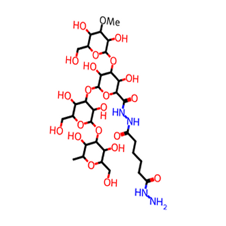 COC1C(O)C(CO)OC(OC2C(O)C(OC3C(O)C(CO)OC(OC4C(O)C(C)OC(CO)C4O)C3O)OC(C(=O)NNC(=O)CCCCC(=O)NN)C2O)C1O